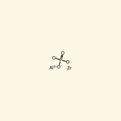 O=P([O-])([O-])[O-].[Al+3].[Zr]